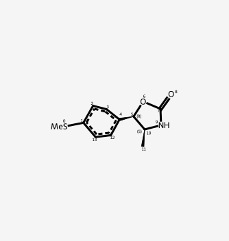 CSc1ccc([C@H]2OC(=O)N[C@H]2C)cc1